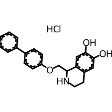 Cl.Oc1cc2c(cc1O)C(COc1ccc(-c3ccccc3)cc1)NCC2